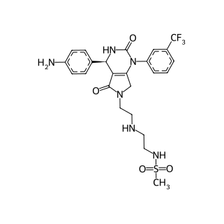 CS(=O)(=O)NCCNCCN1CC2=C(C1=O)[C@@H](c1ccc(N)cc1)NC(=O)N2c1cccc(C(F)(F)F)c1